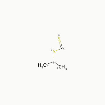 CC(C)SC=S